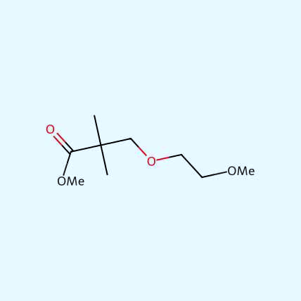 COCCOCC(C)(C)C(=O)OC